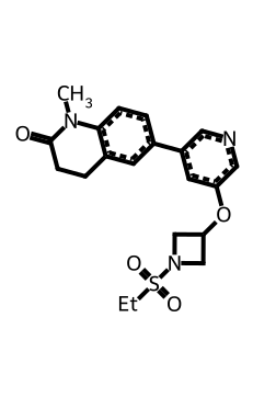 CCS(=O)(=O)N1CC(Oc2cncc(-c3ccc4c(c3)CCC(=O)N4C)c2)C1